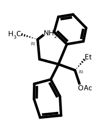 CC[C@H](OC(C)=O)C(C[C@H](C)N)(c1ccccc1)c1ccccc1